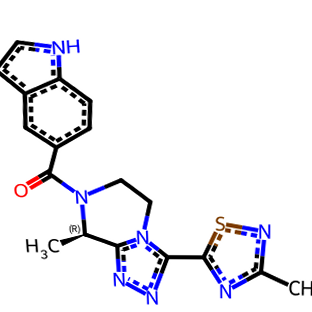 Cc1nsc(-c2nnc3n2CCN(C(=O)c2ccc4[nH]ccc4c2)[C@@H]3C)n1